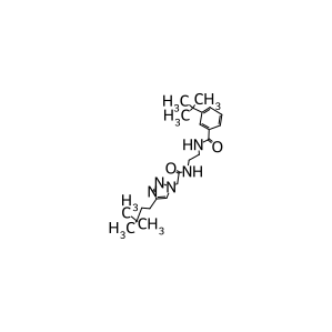 CC(C)(C)CCc1cn(CC(=O)NCCNC(=O)c2cccc(C(C)(C)C)c2)nn1